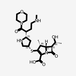 CNCCC(C(=O)N1CCOCC1)[C@@H]1C[C@H](SC2=C(C(=O)O)N3C(=O)[C@H]([C@@H](C)O)[C@H]3[C@H]2C)CN1